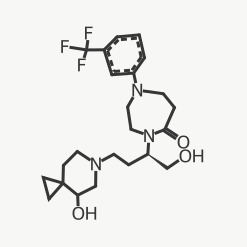 O=C1CCN(c2cccc(C(F)(F)F)c2)CCN1[C@@H](CO)CCN1CCC2(CC2)C(O)C1